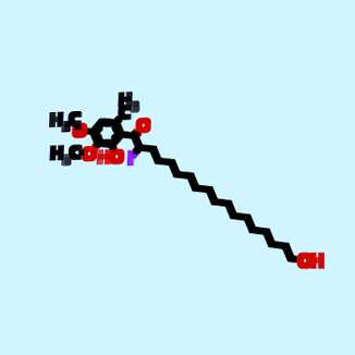 COc1cc(C)c(C(=O)C(I)CCCCCCCCCCCCCCCCO)c(O)c1OC